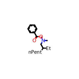 CCCCCC(CC)CN(C)OC(=O)c1ccccc1